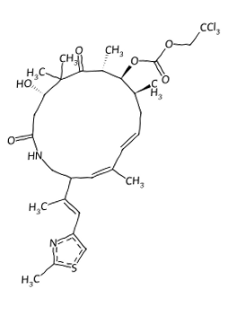 CC1=CC(C(C)=Cc2csc(C)n2)CNC(=O)C[C@H](O)C(C)(C)C(=O)[C@H](C)[C@@H](OC(=O)OCC(Cl)(Cl)Cl)[C@@H](C)C/C=C/1